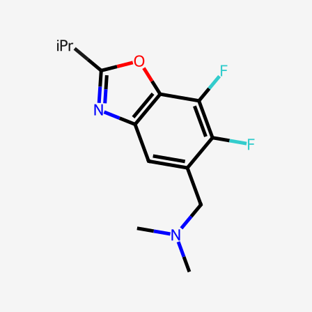 CC(C)c1nc2cc(CN(C)C)c(F)c(F)c2o1